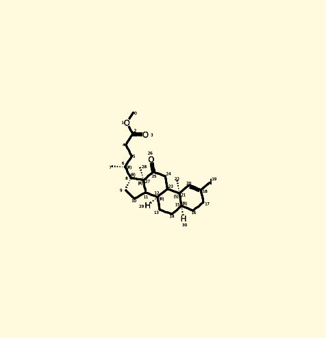 COC(=O)CC[C@@H](C)[C@H]1CCC2[C@@H]3CC[C@@H]4CCC(I)=C[C@]4(C)C3CC(=O)[C@@]21C